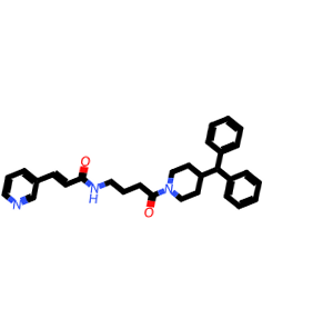 O=C(C=Cc1cccnc1)NCCCC(=O)N1CCC(C(c2ccccc2)c2ccccc2)CC1